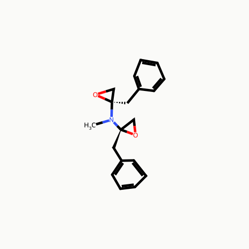 CN([C@]1(Cc2ccccc2)CO1)[C@]1(Cc2ccccc2)CO1